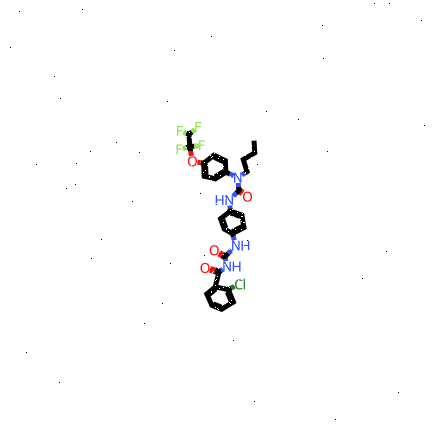 CCCCN(C(=O)Nc1ccc(NC(=O)NC(=O)c2ccccc2Cl)cc1)c1ccc(OC(F)(F)C(F)F)cc1